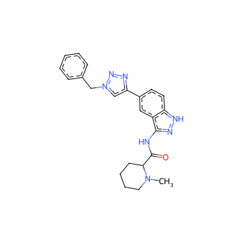 CN1CCCCC1C(=O)Nc1n[nH]c2ccc(-c3cn(Cc4ccccc4)nn3)cc12